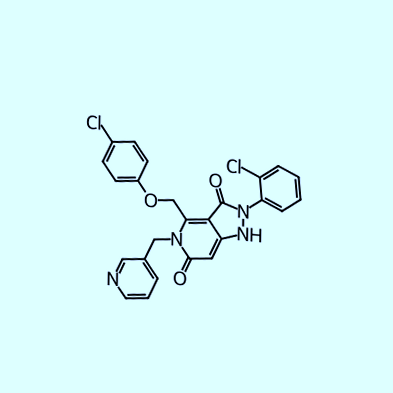 O=c1c2c(COc3ccc(Cl)cc3)n(Cc3cccnc3)c(=O)cc2[nH]n1-c1ccccc1Cl